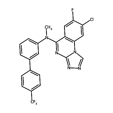 CN(c1cccc(-c2ccc(C(F)(F)F)cc2)c1)c1nc2nncn2c2cc(Cl)c(F)cc12